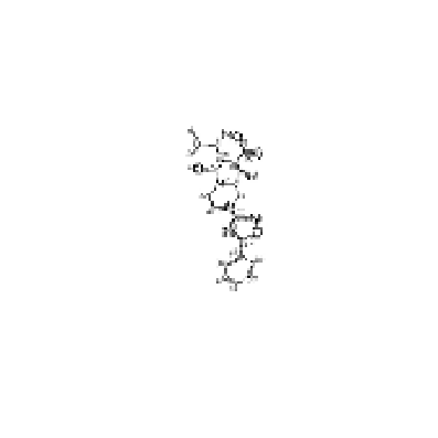 CC(C)C[C@H](C(=O)N1CCN(c2noc(-c3ccccc3)n2)CC1)[C@H](O)C(=O)O